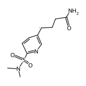 CN(C)S(=O)(=O)c1ccc([CH]CCC(N)=O)cn1